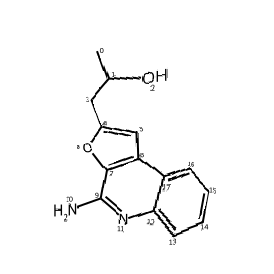 CC(O)Cc1cc2c(o1)c(N)nc1ccccc12